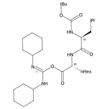 CCCCCC[C@@H](NC(=O)[C@H](CC(C)C)NC(=O)OC(C)(C)C)C(=O)O/C(=N\C1CCCCC1)NC1CCCCC1